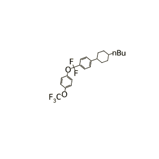 CCCCC1CCC(c2ccc(C(F)(F)Oc3ccc(OC(F)(F)F)cc3)cc2)CC1